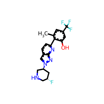 Cc1cc(C(F)(F)F)cc(O)c1-c1ccc2cn([C@@H]3CNC[C@@H](F)C3)nc2n1